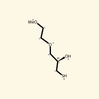 COCCOC[C@@H](O)CS